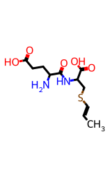 CC=CSCC(NC(=O)C(N)CCC(=O)O)C(=O)O